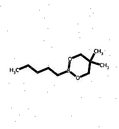 CCCCCB1OCC(C)(C)CO1